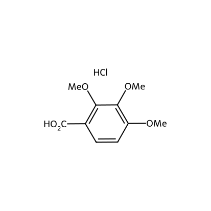 COc1ccc(C(=O)O)c(OC)c1OC.Cl